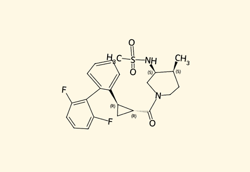 C[C@H]1CCN(C(=O)[C@@H]2C[C@H]2c2ccccc2-c2c(F)cccc2F)C[C@H]1NS(C)(=O)=O